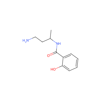 CC(CCN)NC(=O)c1ccccc1O